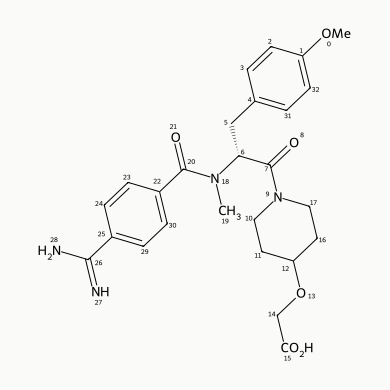 COc1ccc(C[C@H](C(=O)N2CCC(OCC(=O)O)CC2)N(C)C(=O)c2ccc(C(=N)N)cc2)cc1